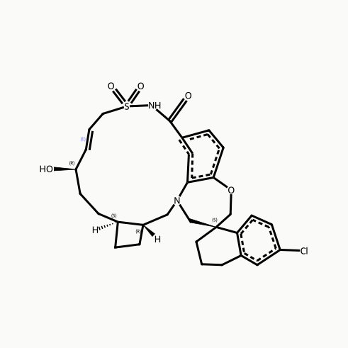 O=C1NS(=O)(=O)C/C=C/[C@H](O)CC[C@@H]2CC[C@H]2CN2C[C@@]3(CCCc4cc(Cl)ccc43)COc3ccc1cc32